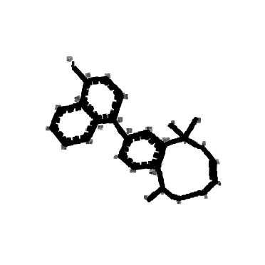 CC1CC/C=C\CC(C)(C)c2cc(-c3ccc(I)c4ccccc34)ccc21